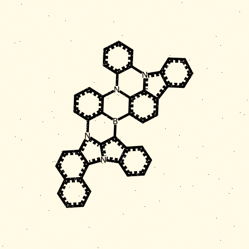 c1ccc2c(c1)N1c3cccc4c3B(c3ccc5c6ccccc6n-2c5c31)c1c2ccccc2n2c3c5ccccc5ccc3n-4c12